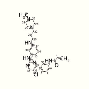 C=CC(=O)Nc1cccc(-c2nc(Nc3cccc(NCCCN4CCN(C)CC4)c3)ncc2Cl)c1